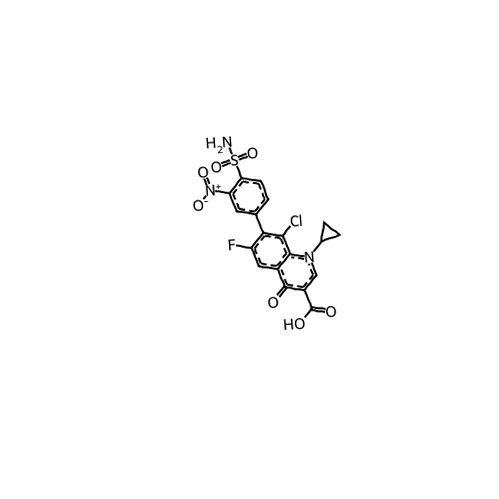 NS(=O)(=O)c1ccc(-c2c(F)cc3c(=O)c(C(=O)O)cn(C4CC4)c3c2Cl)cc1[N+](=O)[O-]